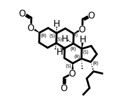 CCCC(C)[C@H]1CC[C@H]2[C@@H]3[C@H](OC=O)C[C@@H]4C[C@H](OC=O)CC[C@]4(C)[C@H]3C[C@H](OC=O)[C@]12C